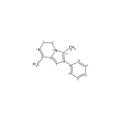 CC1=NCCn2c1cc(-c1ccccc1)c2C